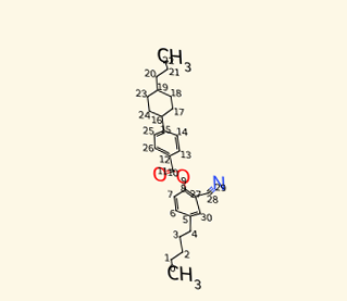 CCCCCc1ccc(OC(=O)c2ccc(C3CCC(CCC)CC3)cc2)c(C#N)c1